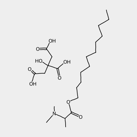 CCCCCCCCCCCCOC(=O)C(C)N(C)C.O=C(O)CC(O)(CC(=O)O)C(=O)O